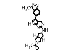 CC(=O)N1C[C@H]2C[C@H](Nc3ncc4c(-c5ccc6nnn(C)c6c5)c[nH]c4n3)C[C@H]2C1